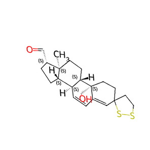 C[C@]12CC[C@H]3[C@@H](C=CC4=CC5(CCSS5)CC[C@@]43CO)[C@@H]1CC[C@@H]2C=O